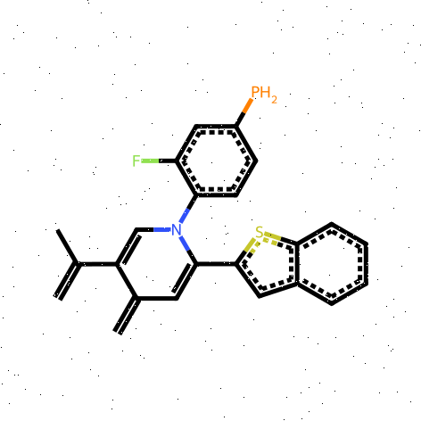 C=C(C)C1=CN(c2ccc(P)cc2F)C(c2cc3ccccc3s2)=CC1=C